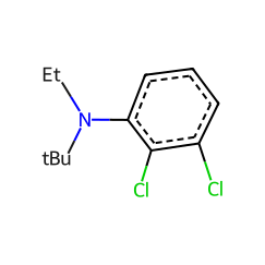 CCN(c1cccc(Cl)c1Cl)C(C)(C)C